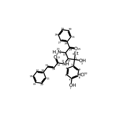 CCC(O)(c1ccc(O)cc1)C(NC(=O)C=Cc1ccccc1)C(N)C(=O)c1ccccc1.Cl